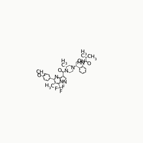 COc1ccc(-c2nc3c(C(=O)N4CCN(C(CO)c5ccccc5NC(=O)C(C)C)C[C@H]4C)cnn3c(C(F)(F)F)c2C)cc1